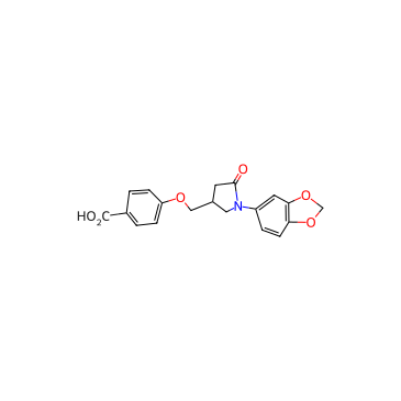 O=C(O)c1ccc(OCC2CC(=O)N(c3ccc4c(c3)OCO4)C2)cc1